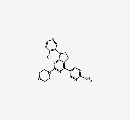 Cc1ccncc1N1CCc2c(-c3cnc(N)nc3)nc(N3CCOCC3)nc21